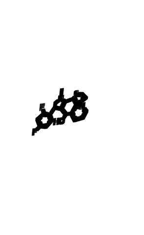 CN1CC(c2ccc(F)cc2F)C(C(O)c2cccnc2)=C1c1cccs1